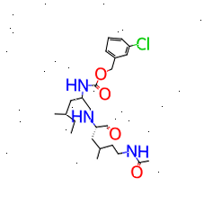 CCC(C)CC(CN[C@H](C=O)CC(C)CCNC(C)=O)NC(=O)OCc1cccc(Cl)c1